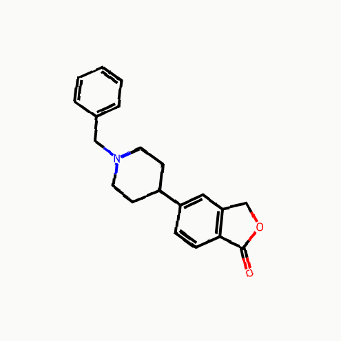 O=C1OCc2cc(C3CCN(Cc4ccccc4)CC3)ccc21